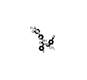 CC(CN[C@H](C(=O)Nc1ccc(N2CCN(C)C(=O)C2)cn1)c1cccc(F)c1)c1ccc(C#N)cc1